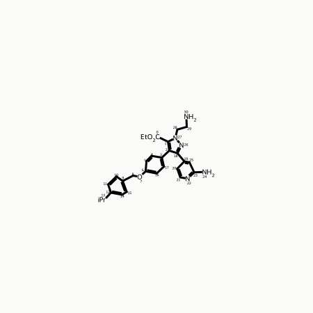 CCOC(=O)c1c(-c2ccc(OCc3ccc(C(C)C)cc3)cc2)c(-c2ccnc(N)c2)nn1CCN